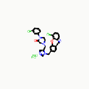 Cl.Cl.N#Cc1ccc(Cn2cncc2CN2CCN(c3cccc(Cl)c3)C(=O)C2)cc1Oc1ccccc1Cl